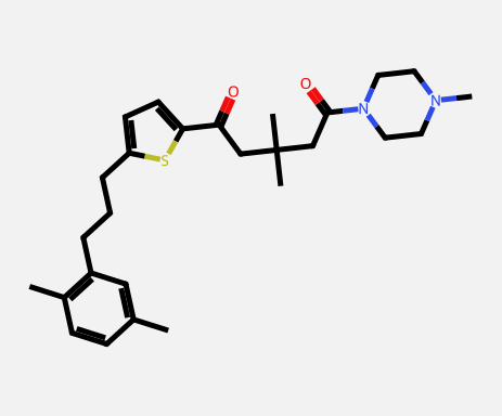 Cc1ccc(C)c(CCCc2ccc(C(=O)CC(C)(C)CC(=O)N3CCN(C)CC3)s2)c1